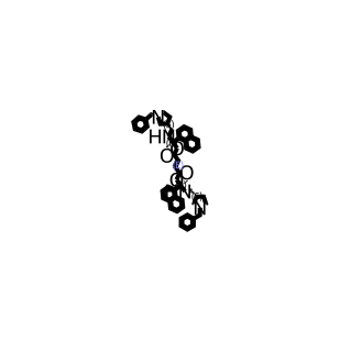 C[C@@](NC[C@@H]1CCN(Cc2ccccc2)C1)(OC(=O)/C=C/C(=O)O[C@@](C)(NC[C@@H]1CCN(Cc2ccccc2)C1)c1cccc2ccccc12)c1cccc2ccccc12